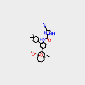 CC[C@@]12CCCC[C@@](COC)(C[C@H](c3ccc(NC(=O)c4nc(C#N)c[nH]4)c(C4=CCC(C)(C)CC4)c3)C1)O2